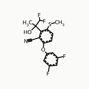 CSc1ccc(Oc2cc(F)cc(F)c2)c(C#N)c1C(C)(O)C(F)F